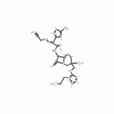 C#CCON=C(C(=O)NC1C(=O)N2CC(CSc3nnnn3CCC(=O)O)(C(=O)O)CS[C@H]12)c1nsc(N)n1